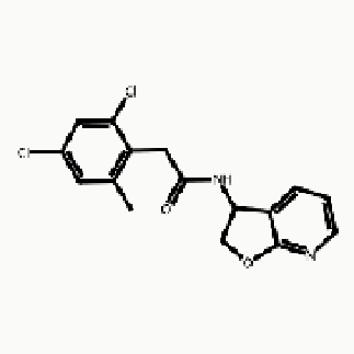 Cc1cc(Cl)cc(Cl)c1CC(=O)NC1COc2ncccc21